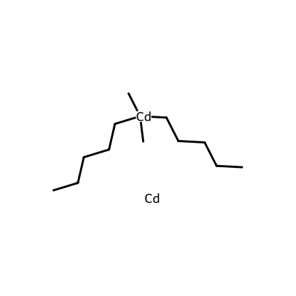 CCCC[CH2][Cd]([CH3])([CH3])[CH2]CCCC.[Cd]